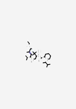 CCOC(=O)/C(C)=C/[C@H](C(C)C)N(C)C(=O)[C@@H](NC(=O)[C@H]1CCCCN1C(C)C(C)C)C(C)(C)C